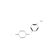 COc1ccc(NC2CCC(O)CC2)cc1